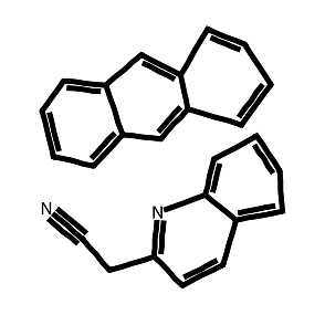 N#CCc1ccc2ccccc2n1.c1ccc2cc3ccccc3cc2c1